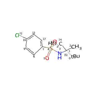 CC(C)(C)[C@](C)(NS(=O)(=O)c1ccc(Cl)cc1)C(=O)O